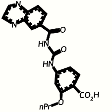 CCCOc1cc(NC(=O)NC(=O)c2ccc3nccnc3c2)ccc1C(=O)O